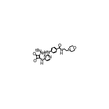 CC(C)(C)Nc1c(Nc2ccnc(Nc3ccc(C(=O)NCCN4CCOCC4)cc3)n2)c(=O)c1=O